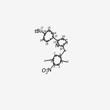 Cc1cc([N+](=O)[O-])c(C)cc1Cc1nc(-c2ccc(C(C)(C)C)cc2)cs1